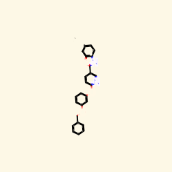 CC(=O)c1ccc2nc(-c3ccc(Oc4cccc(OCc5ccccc5)c4)nc3)oc2c1